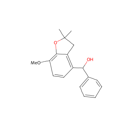 COc1ccc(C(O)c2ccccc2)c2c1OC(C)(C)C2